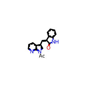 CC(=O)n1cc(C=C2C(=O)Nc3ccccc32)c2cccnc21